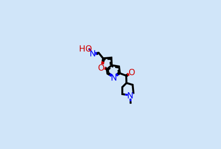 CN1CCC(C(=O)c2cc3cc(/C=N/O)oc3cn2)CC1